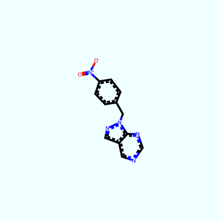 O=[N+]([O-])c1ccc(Cn2ncc3cncnc32)cc1